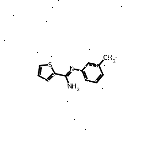 [CH2]c1cccc(/N=C(\N)c2cccs2)c1